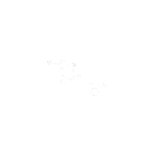 COC(=O)OC1=C(C)NC(C)=C(C(=O)OCCOC(=O)c2ccccc2OC(C)=O)C1c1ccccc1C(F)(F)F